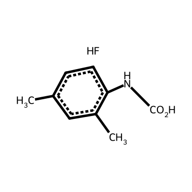 Cc1ccc(NC(=O)O)c(C)c1.F